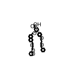 O=C(O)N1CC[C@H](c2ccc(OCCCOCc3ccccc3)cc2)[C@@H](OCc2ccc3ccc(COCCO[C@H]4CCCCO4)cc3c2)C1